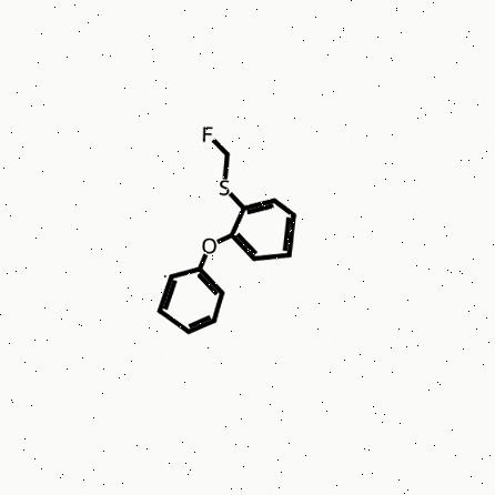 FCSc1ccccc1Oc1[c]cccc1